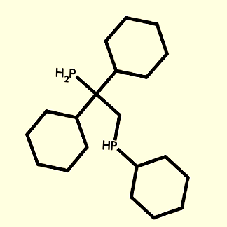 PC(CPC1CCCCC1)(C1CCCCC1)C1CCCCC1